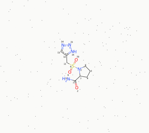 NC(=O)C1CCCN1S(=O)(=O)Cc1cnn[nH]1